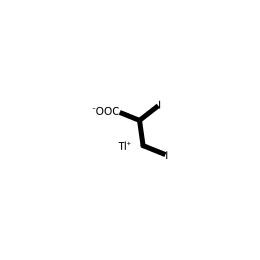 O=C([O-])C(I)CI.[Tl+]